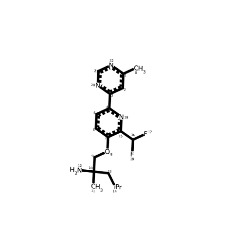 Cc1cc(-c2ccc(OCC(C)(N)CC(C)C)c(C(F)F)n2)ncn1